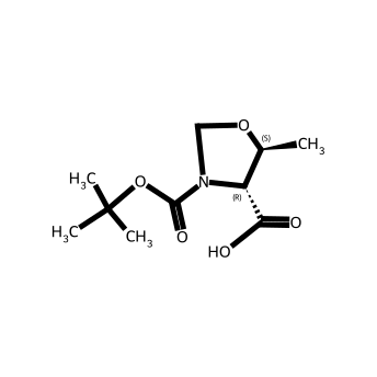 C[C@@H]1OCN(C(=O)OC(C)(C)C)[C@H]1C(=O)O